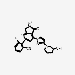 N#Cc1cccc(F)c1-c1cc(-n2ccc(N3CCCC(O)C3)n2)c2c(n1)CNC2=O